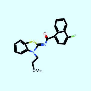 COCCn1/c(=N/C(=O)c2ccc(F)c3ccccc23)sc2ccccc21